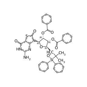 CC(C)(C)[Si](OC[C@H]1O[C@@H](n2c(=O)sc3c(=O)[nH]c(N)nc32)[C@H](OC(=O)c2ccccc2)[C@@H]1OC(=O)c1ccccc1)(c1ccccc1)c1ccccc1